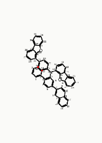 c1ccc(-c2ccc(-c3ccc4ccccc4c3)cc2N(c2ccc(-c3cccc4c3oc3ccccc34)cc2)c2cccc3c2oc2ccccc23)cc1